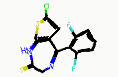 Fc1cccc(F)c1C1=NCC(=S)Nc2sc(Cl)cc21